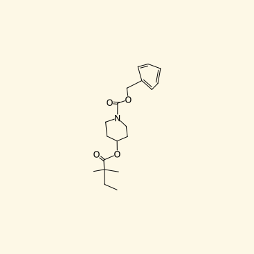 CCC(C)(C)C(=O)OC1CCN(C(=O)OCc2ccccc2)CC1